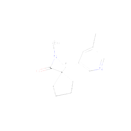 Cc1cncc([C@H]2N(C(C)(C)C)C(=O)C23CCCC3)c1